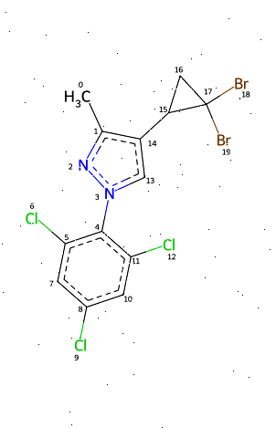 Cc1nn(-c2c(Cl)cc(Cl)cc2Cl)cc1C1CC1(Br)Br